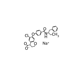 CCC(Cc1ccccc1)NC(=O)c1ccc(Oc2cc3c(cc2Cl)C(C(=O)[O-])CCO3)cc1.[Na+]